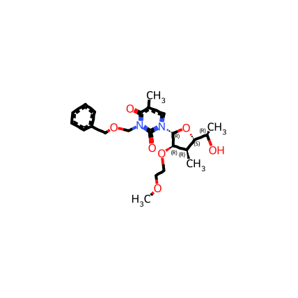 COCCO[C@@H]1[C@H](C)[C@@H]([C@@H](C)O)O[C@H]1n1cc(C)c(=O)n(COCc2ccccc2)c1=O